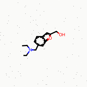 CCN(CC)Cc1ccc2cc(CO)oc2c1